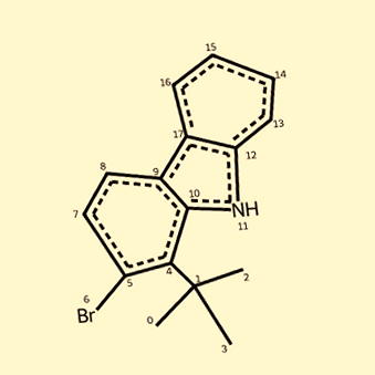 CC(C)(C)c1c(Br)ccc2c1[nH]c1ccccc12